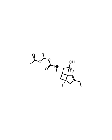 CCC1=C[C@H]2[C@@H](C1)C[C@@]2(CNC(=O)O[C@H](C)OC(C)=O)CC(=O)O